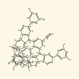 Cc1cc(C)cc(-c2ccc3c4ccc(-c5cc(C)cc(C)c5)cc4n(-c4cc(C#N)cc(-n5c6cc(-c7cc(C)cc(C)c7)ccc6c6ccc(-c7cc(C)cc(C)c7)cc65)c4-c4cc(C#N)cc(C(F)(F)F)c4)c3c2)c1